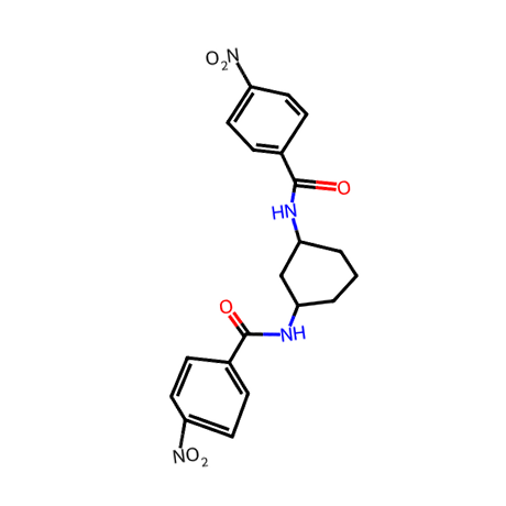 O=C(NC1CCCC(NC(=O)c2ccc([N+](=O)[O-])cc2)C1)c1ccc([N+](=O)[O-])cc1